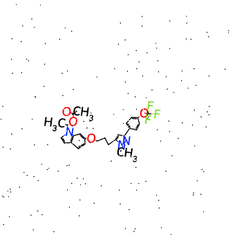 CC(=O)OC(C)n1ccc2ccc(OCCCc3cc(-c4ccc(OC(F)(F)F)cc4)nn3C)cc21